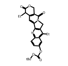 CCc1c2c(nc3ccc(OC(=O)OC(C)(C)C)cc13)-c1cc3c(c(=O)n1C2)COC(=O)C3CC